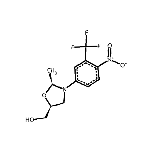 C[C@@H]1O[C@H](CO)CN1c1ccc([N+](=O)[O-])c(C(F)(F)F)c1